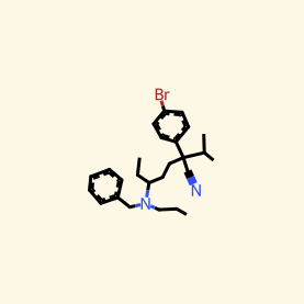 CCCN(Cc1ccccc1)C(CC)CCC(C#N)(c1ccc(Br)cc1)C(C)C